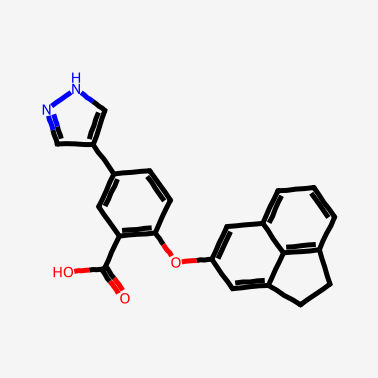 O=C(O)c1cc(-c2cn[nH]c2)ccc1Oc1cc2c3c(cccc3c1)CC2